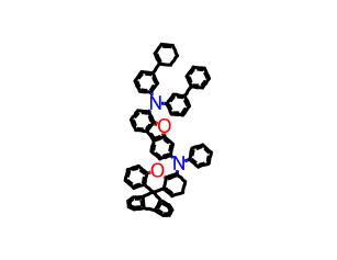 C1=CCCC(c2cccc(N(c3cccc(-c4ccccc4)c3)c3cccc4c3oc3cc(N(C5=C6Oc7ccccc7C7(C6=CCC5)c5ccccc5-c5ccccc57)c5ccccc5)ccc34)c2)=C1